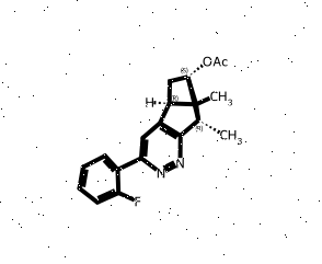 CC(=O)O[C@]12C[C@@H]3c4cc(-c5ccccc5F)nnc4[C@@]1(C)C32C